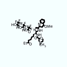 CCC(=O)CCCCC[C@H](NC(=O)C1CN(C)CCO1)c1ncc(-c2cc(OC)c3ccccc3n2)[nH]1.O=C(O)C(F)(F)F.O=C(O)C(F)(F)F.O=C(O)C(F)(F)F